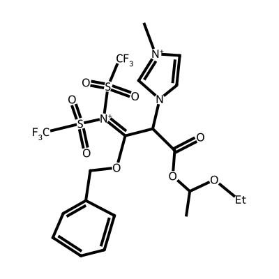 CCOC(C)OC(=O)C(C(OCc1ccccc1)=[N+](S(=O)(=O)C(F)(F)F)S(=O)(=O)C(F)(F)F)n1cc[n+](C)c1